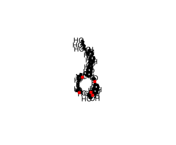 C=C1C[C@@H]2CC[C@]34CC(O)(O)C(O3)[C@@H]3O[C@H]5CC[C@H](CC(=O)C[C@@H]6CC7OC8C[C@]9(C[C@@H]%10O[C@@]%11(CC[C@@H]%10O9)C[C@H](C)[C@@H]9O[C@H]([C@@H](O)C[C@@H](O)CO)C[C@@H]9O%11)O[C@@H]8C[C@@H]7O[C@H]6C[C@H]6O[C@@H](CC[C@@H]1O2)C[C@@H](C)C6=C)O[C@@H]5[C@H](O4)[C@@H]3C